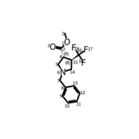 COC(=O)[C@H]1CN(Cc2ccccc2)C[C@@H]1C(F)(F)F